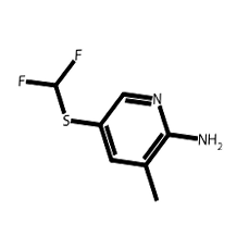 Cc1cc(SC(F)F)cnc1N